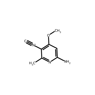 [C-]#[N+]c1c(OC)cc(N)nc1C